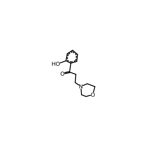 O=C(CCN1CCOCC1)c1ccccc1O